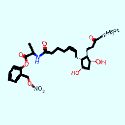 CCCCCCCC(=O)CC[C@@H]1[C@@H](C/C=C\CCCC(=O)NC(C)C(=O)Oc2ccccc2CO[N+](=O)[O-])[C@@H](O)C[C@H]1O